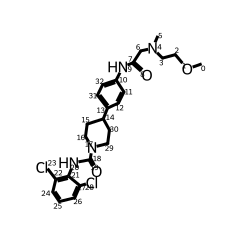 COCCN(C)CC(=O)Nc1ccc(C2CCN(C(=O)Nc3c(Cl)cccc3Cl)CC2)cc1